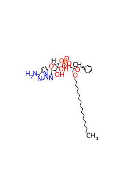 CCCCCCCCCCCCCCCCCCOCC(C)(COP(=O)(O)OC1[C@H]2O[C@@](C#N)(c3ccc4c(N)ncnn34)[C@H](O)[C@@]12O)OCc1ccccc1